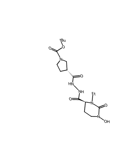 CCN1C(=O)N(O)CC[C@H]1C(=O)NNC(=O)[C@@H]1CCN(C(=O)OC(C)(C)C)C1